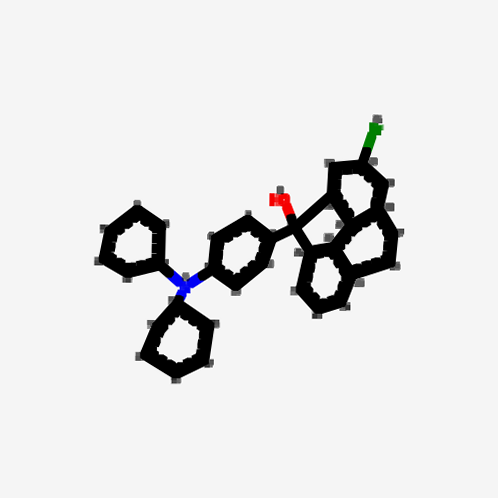 OC1(c2ccc(N(c3ccccc3)c3ccccc3)cc2)c2cccc3ccc4cc(Br)cc1c4c23